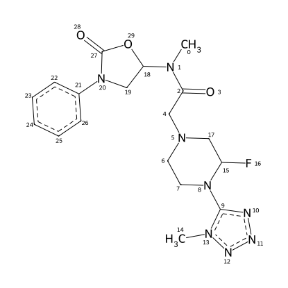 CN(C(=O)CN1CCN(c2nnnn2C)C(F)C1)C1CN(c2ccccc2)C(=O)O1